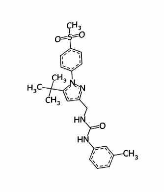 Cc1cccc(NC(=O)NCc2cc(C(C)(C)C)n(-c3ccc(S(C)(=O)=O)cc3)n2)c1